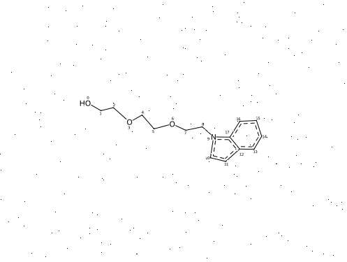 OCCOCCOCCn1ccc2ccccc21